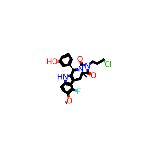 COc1ccc2[nH]c3c(c2c1F)C[C@@]1(C)C(=O)N(CCCCl)C(=O)N1[C@@H]3c1cccc(O)c1